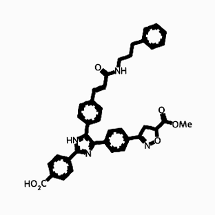 COC(=O)C1CC(c2ccc(-c3nc(-c4ccc(C(=O)O)cc4)[nH]c3-c3ccc(C=CC(=O)NCCCc4ccccc4)cc3)cc2)=NO1